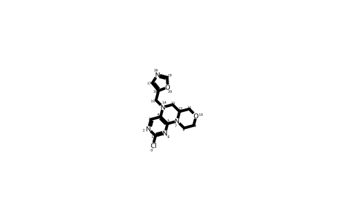 Clc1ncc2c(n1)N1CCOCC1CN2Cc1cnco1